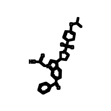 CC(C)OC1=CCC(S(=O)(=O)N2CCC(c3cn(CC(=O)O)c4cc(C(=O)c5ccccc5)ccc34)C2)C=C1